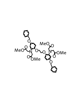 COC(=O)CN(CC(=O)OC)c1cc(OCc2ccccc2)ccc1OCCOc1ccc(OCc2ccccc2)cc1N(CC(=O)OC)CC(=O)OC